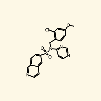 COc1ccc(CN(c2ccncn2)S(=O)(=O)c2ccc3cnccc3c2)c(Cl)c1